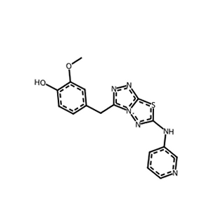 COc1cc(Cc2nnc3sc(Nc4cccnc4)nn23)ccc1O